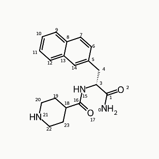 NC(=O)[C@@H](Cc1ccc2ccccc2c1)NC(=O)C1CCNCC1